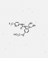 CC(C)CN(CC(C)C)c1ccc(C2CC2C(=O)O)cc1NC(=O)Nc1ccc(C(F)(F)F)nc1